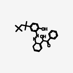 CC(C)(C)CC(C)(C)c1ccc(O)c(N=NC2CC=CC=C2C(O)C(=O)c2ccccc2)c1